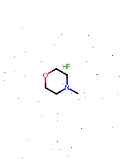 CN1CCOCC1.F